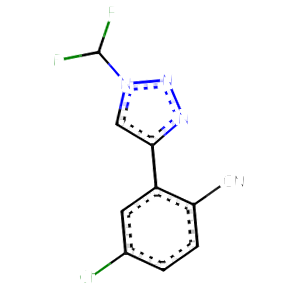 N#Cc1ccc(Cl)cc1-c1cn(C(F)F)nn1